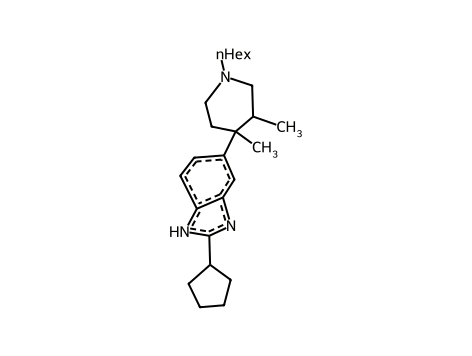 CCCCCCN1CCC(C)(c2ccc3[nH]c(C4CCCC4)nc3c2)C(C)C1